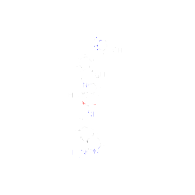 Cc1cnn(Cc2ccc(Cn3c(C)cc(OC(=O)NCc4ccc5c(N)nccc5c4)c3C)cc2)c1